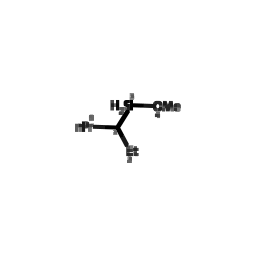 CCCC(CC)[SiH2]OC